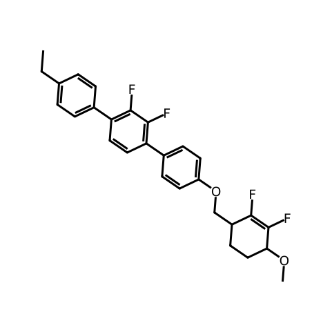 CCc1ccc(-c2ccc(-c3ccc(OCC4CCC(OC)C(F)=C4F)cc3)c(F)c2F)cc1